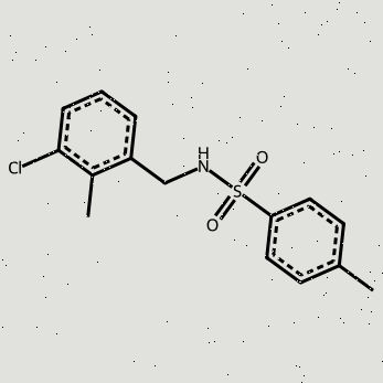 Cc1ccc(S(=O)(=O)NCc2cccc(Cl)c2C)cc1